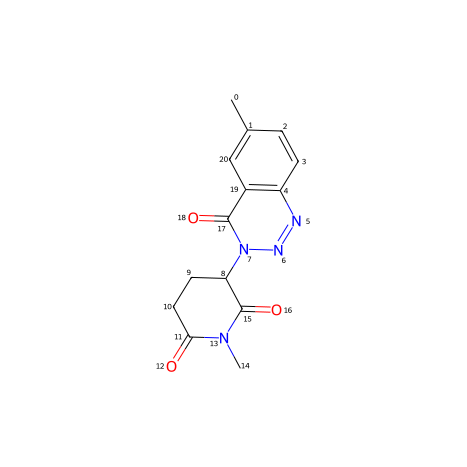 Cc1ccc2nnn(C3CCC(=O)N(C)C3=O)c(=O)c2c1